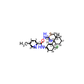 Cc1ccc(C(=O)NC2=CCC(F)C([C@]34CCCC[C@H]3CSC(N)=N4)=C2)nc1